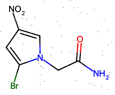 NC(=O)Cn1cc([N+](=O)[O-])cc1Br